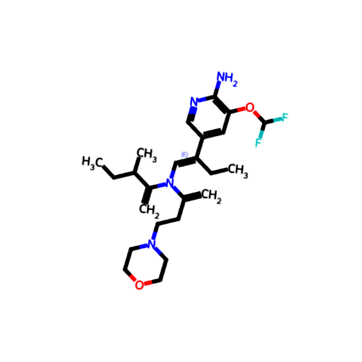 C=C(CCN1CCOCC1)N(/C=C(\CC)c1cnc(N)c(OC(F)F)c1)C(=C)C(C)CC